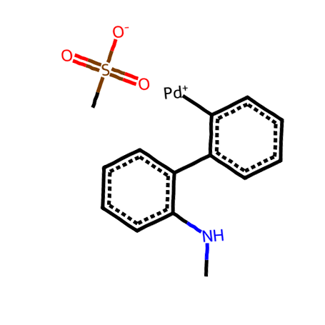 CNc1ccccc1-c1cccc[c]1[Pd+].CS(=O)(=O)[O-]